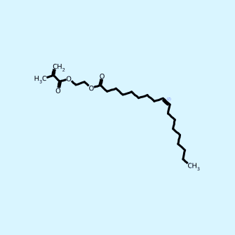 C=C(C)C(=O)OCCOC(=O)CCCCCCC/C=C\CCCCCCCC